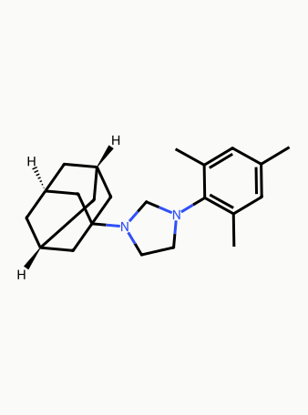 Cc1cc(C)c(N2CCN(C34C[C@H]5C[C@@H](C3)C[C@@H](C4)C5)C2)c(C)c1